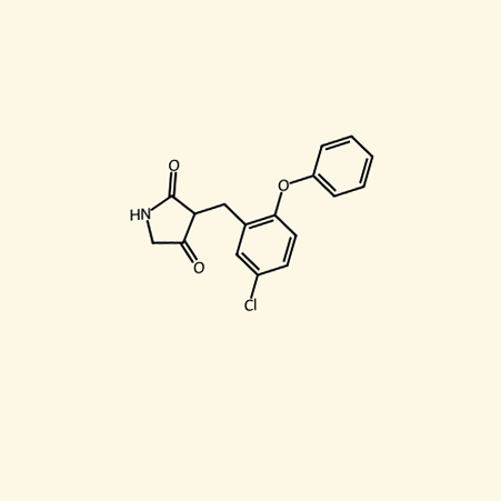 O=C1CNC(=O)C1Cc1cc(Cl)ccc1Oc1ccccc1